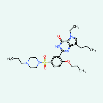 CCCOc1ccc(S(=O)(=O)N2CCN(CCC)CC2)cc1-c1nc2c(CCC)cn(CC)c2c(=O)[nH]1